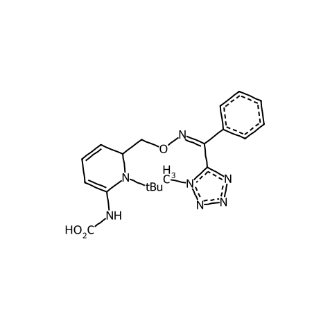 Cn1nnnc1/C(=N\OCC1C=CC=C(NC(=O)O)N1C(C)(C)C)c1ccccc1